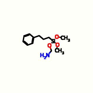 CO[Si](CCCc1ccccc1)(OC)OCN